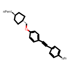 CCCCC[C@H]1CC[C@H](COc2ccc(C#Cc3ccc(CCC)cc3)cc2)CC1